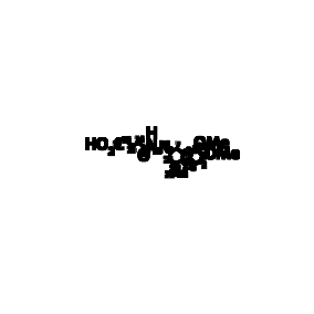 COc1ccc(C23CC/C(=N/CNC(=O)CCCC(=O)O)CC2N(C)CC3)cc1OC